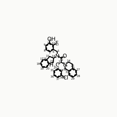 C[C@@H](C(=O)N(Cc1cccc(O)c1F)C1Cc2ccccc2C1)N1CCc2ccccc2[C@@H]1c1ccccc1Cl